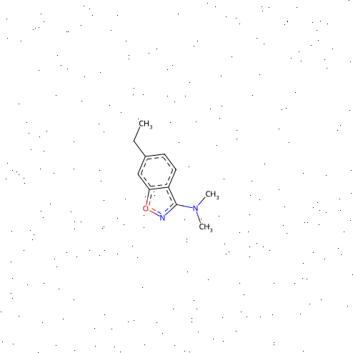 CCc1ccc2c(N(C)C)noc2c1